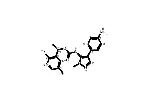 C[C@@H](OC(=O)Nc1c(-c2ccc(N)cn2)cnn1C)c1cc(F)cnc1F